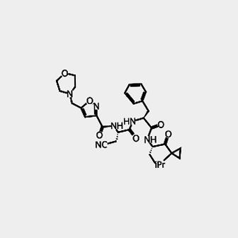 CC(C)C[C@H](NC(=O)[C@H](Cc1ccccc1)NC(=O)[C@H](CC#N)NC(=O)c1cc(CN2CCOCC2)on1)C(=O)C1(C)CC1